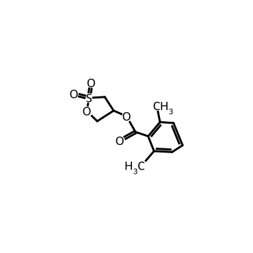 Cc1cccc(C)c1C(=O)OC1COS(=O)(=O)C1